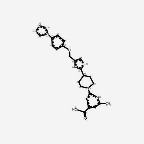 Cc1cc(C(=O)O)nc(N2CCC(c3nc(COc4ccc(-n5cnnn5)cc4)cs3)CC2)n1